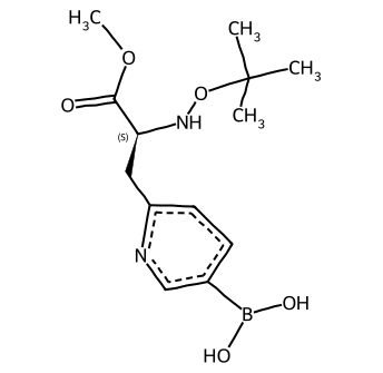 COC(=O)[C@H](Cc1ccc(B(O)O)cn1)NOC(C)(C)C